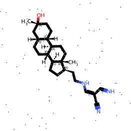 C[C@@]1(O)CC[C@H]2[C@H](CC[C@@H]3[C@@H]2CC[C@]2(C)[C@@H](CCN/C=C(/C#N)C=N)CC[C@@H]32)C1